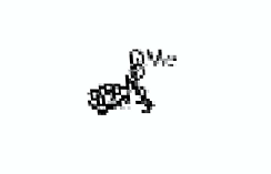 COCCOCCN1CC2c3cc4c5c6c(cc7ccc8ccc9c%10ccc(c%11c3c5c(c%10%11)c3c9c8c7c63)C2C1c1ccc(-c2cccs2)s1)C4